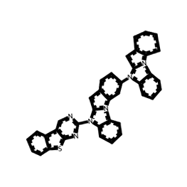 c1ccc2c(c1)cc1n(-c3ccc4cc5n(-c6ncc7c(n6)sc6ccccc67)c6ccccc6n5c4c3)c3ccccc3n21